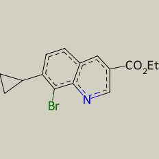 CCOC(=O)c1cnc2c(Br)c(C3CC3)ccc2c1